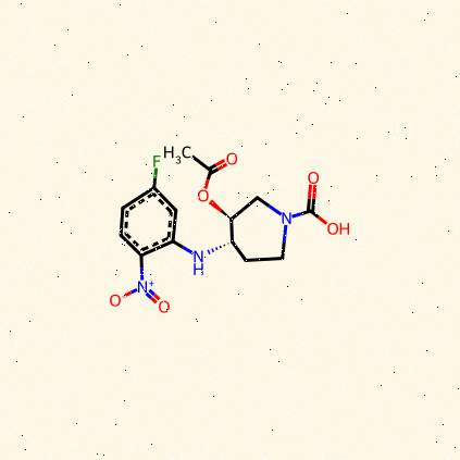 CC(=O)O[C@H]1CN(C(=O)O)CC[C@@H]1Nc1cc(F)ccc1[N+](=O)[O-]